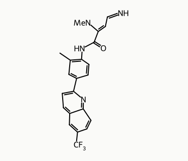 CN/C(=C\C=N)C(=O)Nc1ccc(-c2ccc3cc(C(F)(F)F)ccc3n2)cc1C